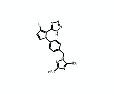 CCCCc1nc(C(C)CC)n(Cc2ccc(-n3ccc(F)c3-c3nnn[nH]3)cc2)n1